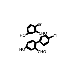 O=Cc1cc(O)ccc1-c1ccc(Cl)cc1.O=Cc1cc(O)ccc1Br